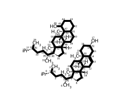 CC(C)[C@H](C)CC[C@@H](C)[C@H]1CC[C@H]2[C@@H]3CC=C4C[C@@H](O)CC[C@]4(C)[C@H]3CC[C@]12C.CC(C)[C@H](C)CC[C@@H](C)[C@H]1CC[C@H]2[C@@H]3CCC4CCCC(O)[C@]4(C)[C@H]3CC[C@]12C